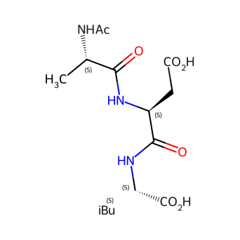 CC[C@H](C)[C@H](NC(=O)[C@H](CC(=O)O)NC(=O)[C@H](C)NC(C)=O)C(=O)O